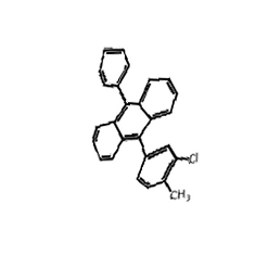 Cc1ccc(-c2c3ccccc3c(-c3ccccc3)c3ccccc23)cc1Cl